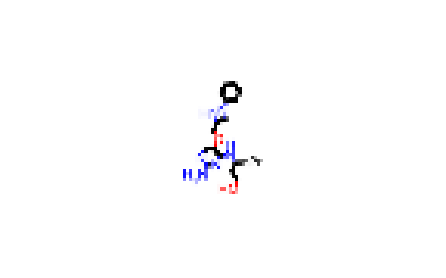 CCCC(CCO)Nc1nc(N)ncc1OCc1cn(-c2ccccc2)[nH]1